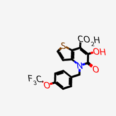 O=C(O)c1c(O)c(=O)n(Cc2ccc(OC(F)(F)F)cc2)c2ccsc12